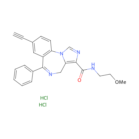 C#Cc1ccc2c(c1)C(c1ccccc1)=NCc1c(C(=O)NCCOC)ncn1-2.Cl.Cl